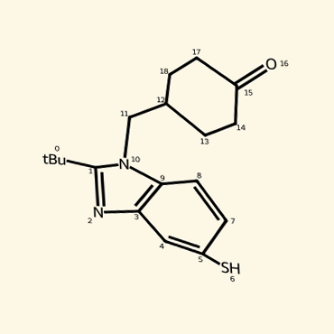 CC(C)(C)c1nc2cc(S)ccc2n1CC1CCC(=O)CC1